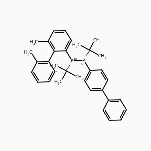 Cc1ccc[c]c1-c1c(C)cccc1[P@]([P@@](c1ccc(-c2ccccc2)cc1)C(C)(C)C)C(C)(C)C